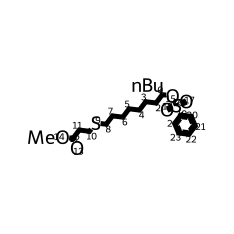 CCCC[C@@H](CCCCCCCSCCC(=O)OC)OS(=O)(=O)c1ccccc1